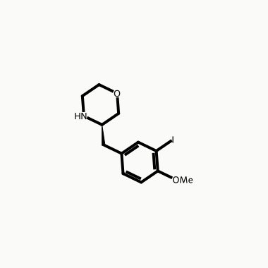 COc1ccc(C[C@@H]2COCCN2)cc1I